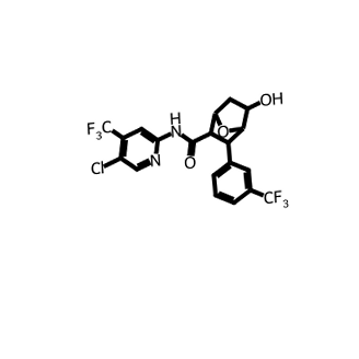 O=C(Nc1cc(C(F)(F)F)c(Cl)cn1)C1C2CC(O)C(O2)C1c1cccc(C(F)(F)F)c1